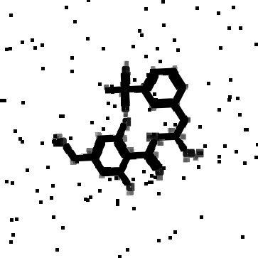 CS(=O)(=O)c1cccc(C[C@H](NC(=O)c2c(Cl)cc(CO)cc2Cl)C(=O)O)c1